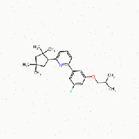 CC(C)COc1cc(F)cc(-c2cccc(C3CC(C)(C)CC3(C)C)n2)c1